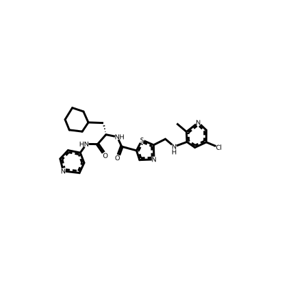 Cc1ncc(Cl)cc1NCc1ncc(C(=O)N[C@@H](CC2CCCCC2)C(=O)Nc2ccncc2)s1